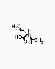 BC(=O)N[C@@H](CC=C)C(=O)O